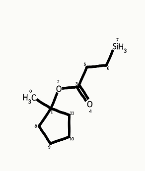 CC1(OC(=O)CC[SiH3])CCCC1